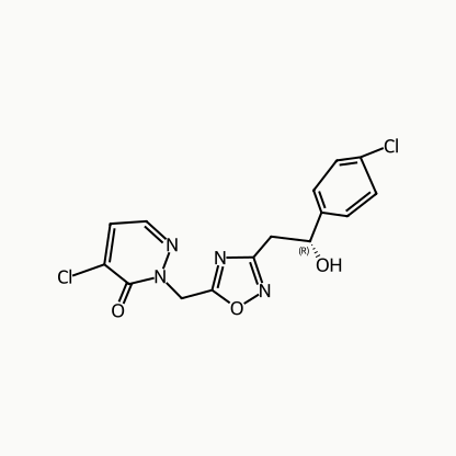 O=c1c(Cl)ccnn1Cc1nc(C[C@@H](O)c2ccc(Cl)cc2)no1